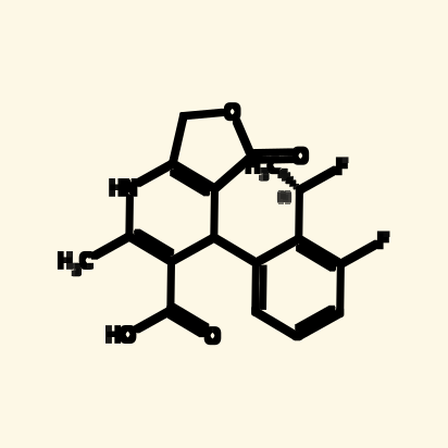 CC1=C(C(=O)O)C(c2cccc(F)c2[C@H](C)F)C2=C(COC2=O)N1